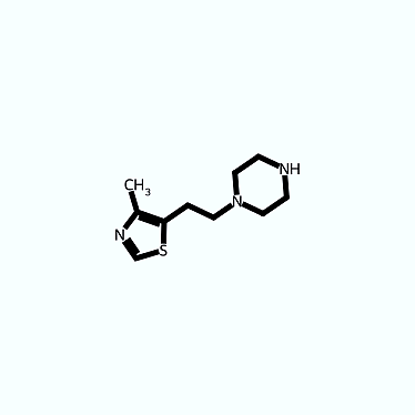 Cc1ncsc1CCN1CCNCC1